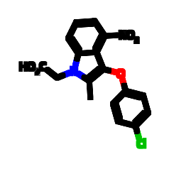 Cc1c(Oc2ccc(Cl)cc2)c2c([N+](=O)[O-])cccc2n1CC(=O)O